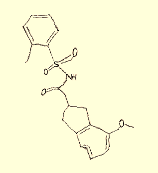 COc1cccc2c1CC(C(=O)NS(=O)(=O)c1ccccc1C)C2